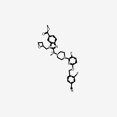 COC(=O)c1ccc2nc([C@H](C)N3CCN(c4nc(OCc5ccc(C#N)cc5F)ccc4F)CC3)n(CC3CCO3)c2c1